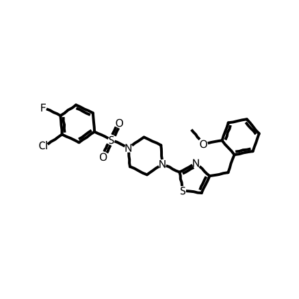 COc1ccccc1Cc1csc(N2CCN(S(=O)(=O)c3ccc(F)c(Cl)c3)CC2)n1